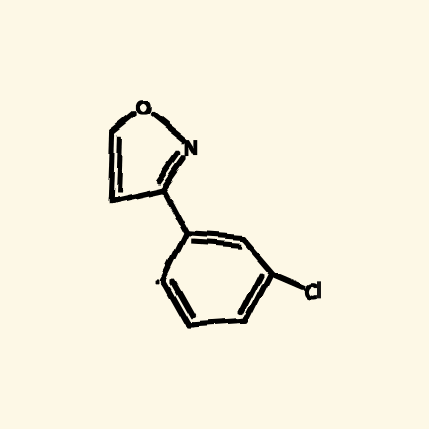 Clc1cc[c]c(-c2ccon2)c1